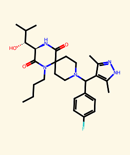 CCCCN1C(=O)[C@@H]([C@H](O)C(C)C)NC(=O)C12CCN(C(c1ccc(F)cc1)c1c(C)n[nH]c1C)CC2